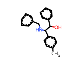 Cc1ccc(C(NCc2ccccc2)C(O)c2ccccc2)cc1